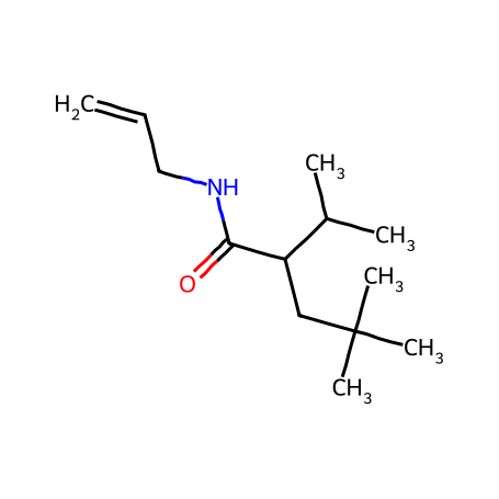 C=CCNC(=O)C(CC(C)(C)C)C(C)C